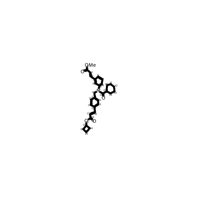 COC(=O)/C=C/c1cccc(N(Cc2ccc(/C=C/C(=O)OC3CCC3)cc2)C(=O)C2CCCCC2)c1